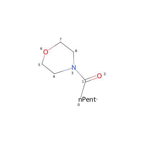 CCCC[CH]C(=O)N1CCOCC1